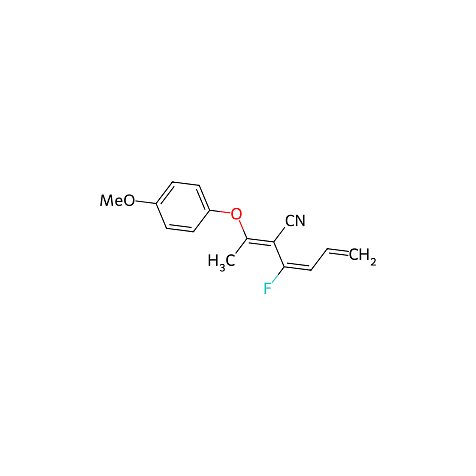 C=C/C=C(F)\C(C#N)=C(/C)Oc1ccc(OC)cc1